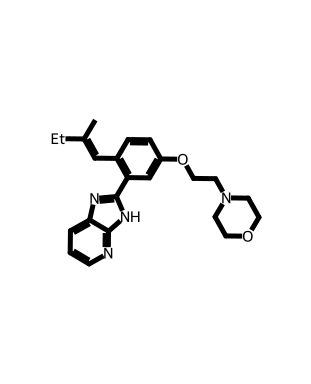 CC/C(C)=C/c1ccc(OCCN2CCOCC2)cc1-c1nc2cccnc2[nH]1